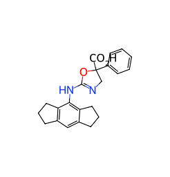 O=C(O)C1(c2ccccc2)CN=C(Nc2c3c(cc4c2CCC4)CCC3)O1